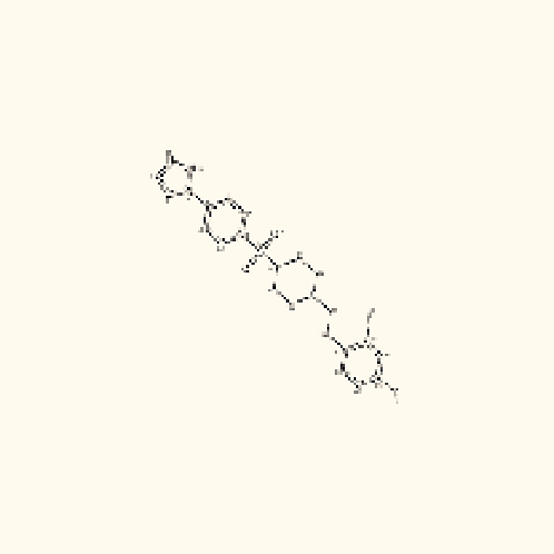 O=S(=O)(c1ccc(-n2ccnn2)cc1)C1CCN(CCc2ccc(F)cc2F)CC1